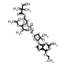 CCOc1nc(N)nc2c1ncn2[C@@H]1O[C@H](CO[P@@](=O)(N[C@@H](C)C(=O)OC(C)C)OCCSC(=O)C(C)(C)CO)C[C@@]1(C)Cl